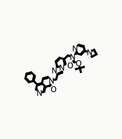 CC(C)(C)OC(=O)N(Cc1ccc2nc(Cn3ccc4c(-c5ccccc5)cncc4c3=O)cn2c1)c1cc(N2CCC2)ccn1